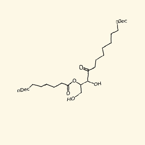 CCCCCCCCCCCCCCCCCC(=O)C(O)C(CO)OC(=O)CCCCCCCCCCCCCCC